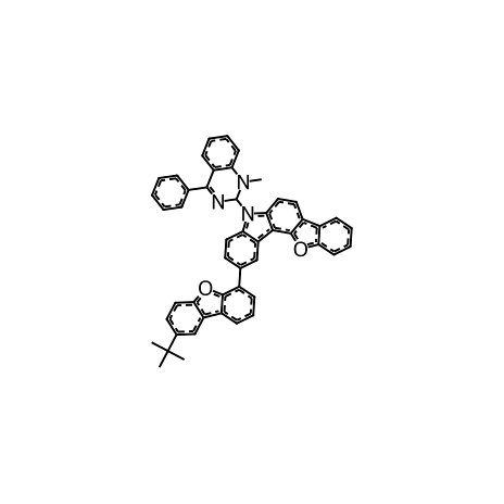 CN1c2ccccc2C(c2ccccc2)=NC1n1c2ccc(-c3cccc4c3oc3ccc(C(C)(C)C)cc34)cc2c2c3oc4ccccc4c3ccc21